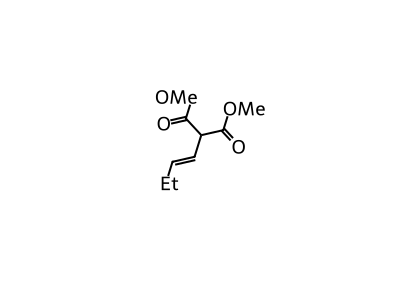 CCC=CC(C(=O)OC)C(=O)OC